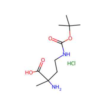 CC(C)(C)OC(=O)NCCC(C)(N)C(=O)O.Cl